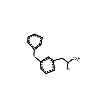 O=C(O)C(O)Cc1cccc(Oc2ccccc2)c1